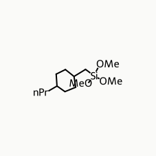 CCCC1CCC(C[Si](OC)(OC)OC)CC1